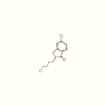 O=C1c2ccc(Cl)cc2CC1CCCCCl